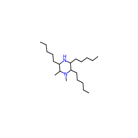 CCCCCC1NC(CCCCC)C(CCCCC)N(C)C1C